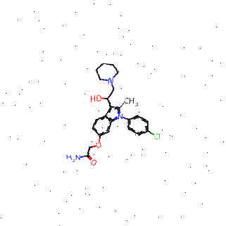 Cc1c(C(O)CN2CCCCC2)c2ccc(OCC(N)=O)cc2n1-c1ccc(Cl)cc1